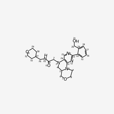 O=C(CN1CC2COCCN2c2nc(-c3ccccc3CO)ncc21)NCC1CCOCC1